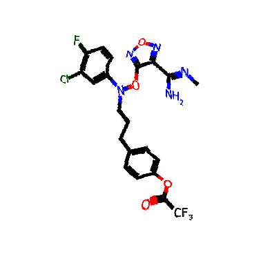 CN=C(N)c1nonc1ON(CCCc1ccc(OC(=O)C(F)(F)F)cc1)c1ccc(F)c(Cl)c1